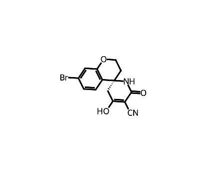 N#CC1=C(O)C[C@]2(CCOc3cc(Br)ccc32)NC1=O